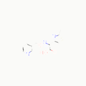 Cc1nc(/C(=N/OCc2cccnc2)C(=O)O)cs1